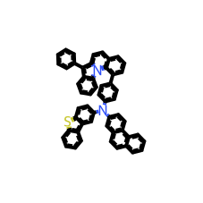 c1ccc(-c2c3ccccc3n3c2ccc2cccc(-c4ccc(N(c5ccc6c(ccc7ccccc76)c5)c5ccc6sc7ccccc7c6c5)cc4)c23)cc1